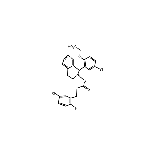 O=C(O)COc1ccc(Cl)cc1C1c2ccccc2CCN1OC(=O)OCc1cc(Cl)ccc1F